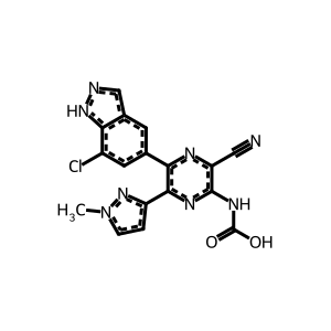 Cn1ccc(-c2nc(NC(=O)O)c(C#N)nc2-c2cc(Cl)c3[nH]ncc3c2)n1